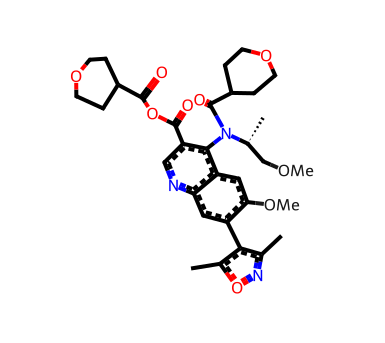 COC[C@@H](C)N(C(=O)C1CCOCC1)c1c(C(=O)OC(=O)C2CCOCC2)cnc2cc(-c3c(C)noc3C)c(OC)cc12